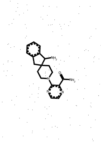 NC(=O)c1nccnc1N1CCC2(CC1)Cc1ccccc1C2N